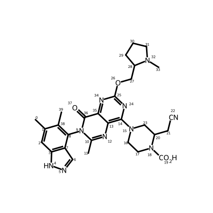 Cc1cc2[nH]ncc2c(-n2c(C)nc3c(N4CCN(C(=O)O)C(CC#N)C4)nc(OCC4CCCN4C)nc3c2=O)c1C